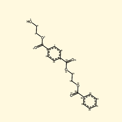 O=C(OCCO)c1ccc(C(=O)OCCOC(=O)c2ccccc2)cc1